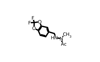 CC(=O)N(C)NCc1ccc2c(c1)OC(F)(F)O2